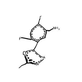 Cc1nnc(-c2cc(N)c(F)cc2F)o1